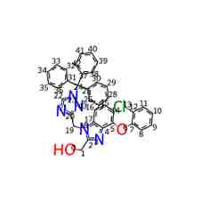 OCc1nc2c(Oc3ccccc3Cl)cccc2n1Cc1ncn(C(c2ccccc2)(c2ccccc2)c2ccccc2)n1